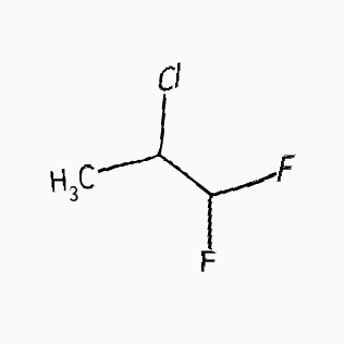 CC(Cl)C(F)F